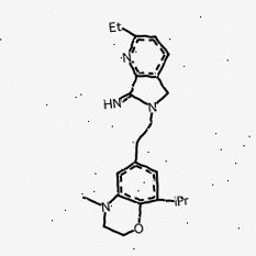 CCc1ccc2c(n1)C(=N)N(C[CH]c1cc(C(C)C)c3c(c1)N(C)CCO3)C2